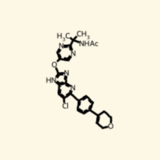 CC(=O)NC(C)(C)c1ncc(Oc2nc3nc(-c4ccc(C5=CCOCC5)cc4)c(Cl)cc3[nH]2)cn1